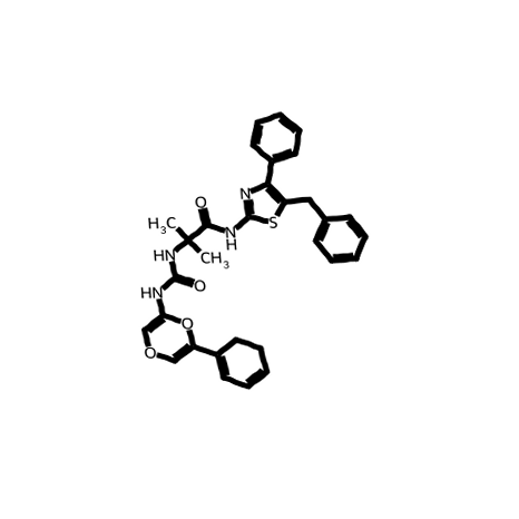 CC(C)(NC(=O)NC1=COC=C(C2=CC=CCC2)O1)C(=O)Nc1nc(-c2ccccc2)c(Cc2ccccc2)s1